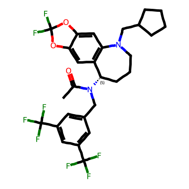 CC(=O)N(Cc1cc(C(F)(F)F)cc(C(F)(F)F)c1)[C@H]1CCCN(CC2CCCC2)c2cc3c(cc21)OC(F)(F)O3